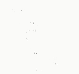 CC1=CS(=O)(=O)c2ccc(N3CCC4(CCN(C[C@H](O)c5ccc6c(c5C)COC6=O)CC4)C3)cc21